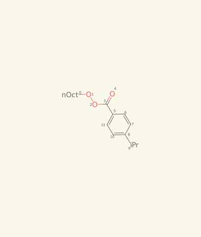 [CH2]CCCCCCCOOC(=O)c1ccc(C(C)C)cc1